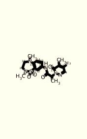 Cc1c(F)cnn(C(C)C(=O)Nc2ccc3c(c2)S(=O)(=O)N(C)CCN3C)c1=O